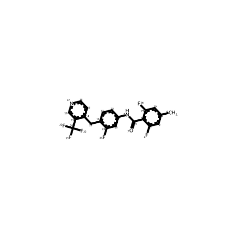 Cc1cc(F)c(C(=O)Nc2ccc(Cc3ccncc3C(F)(F)F)c(F)c2)c(F)c1